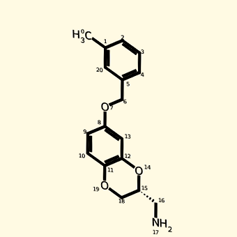 Cc1cccc(COc2ccc3c(c2)O[C@H](CN)CO3)c1